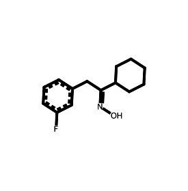 ON=C(Cc1cccc(F)c1)C1CCCCC1